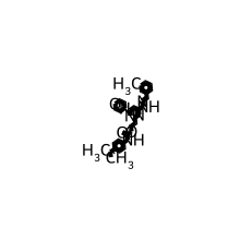 Cc1cccc(C=NNc2cc(N3CCOCC3)nc(CCOC(=O)Nc3ccc(C(C)C)cc3)n2)c1